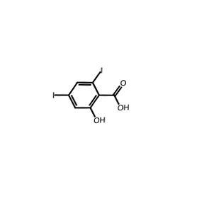 O=C(O)c1c(O)cc(I)cc1I